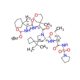 C=C[C@@H]1C[C@]1(NC(=O)[C@@H]1C[C@@]2(CN1C(=O)[C@@H](NC(=O)[C@@H](NC(=O)OC(C)(C)C)C1(C)CCCCC1)C1(C)CCOCC1)C(C)(C)C21CCC1)C(=O)NS(=O)(=O)N1CCCC1